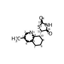 Cc1cnc2c(c1)CCC[C@H]2C1SC(=O)NC1=O